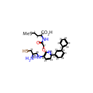 CSCC[C@H](NC(=O)COc1nc(-c2cccc(-c3ccccc3)c2)ccc1NCC(N)CS)C(=O)O